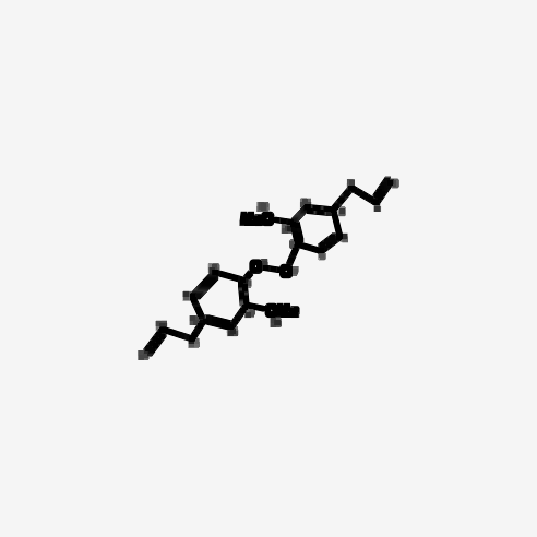 C=CCc1ccc(OOc2ccc(CC=C)cc2OC)c(OC)c1